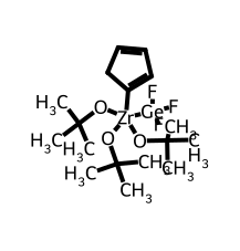 CC(C)(C)[O][Zr]([O]C(C)(C)C)([O]C(C)(C)C)([C]1=CC=CC1)[Ge]([F])([F])[F]